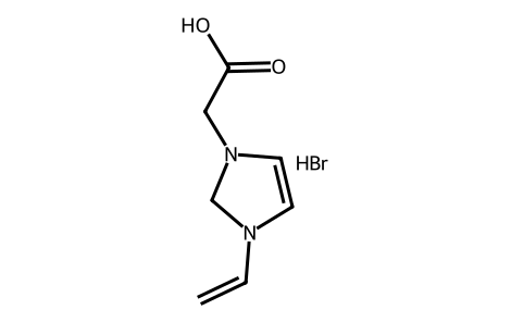 Br.C=CN1C=CN(CC(=O)O)C1